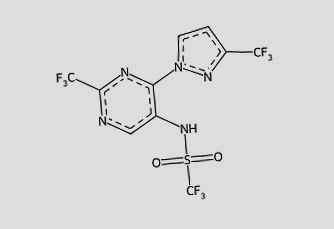 O=S(=O)(Nc1cnc(C(F)(F)F)nc1-n1ccc(C(F)(F)F)n1)C(F)(F)F